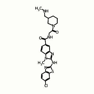 CNCC1CCCN(C(=O)CNC(=O)c2ccc3c(c2)nc(Nc2nc4ccc(Cl)cc4s2)n3C)C1